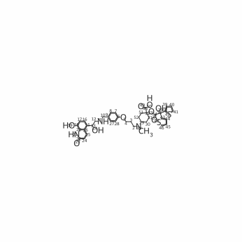 CN(CCCOc1ccc(CNC[C@@H](O)c2ccc(O)c3[nH]c(=O)ccc23)cc1)C1CCC(OC(=O)C(O)(c2cccs2)c2cccs2)(C(=O)O)CC1